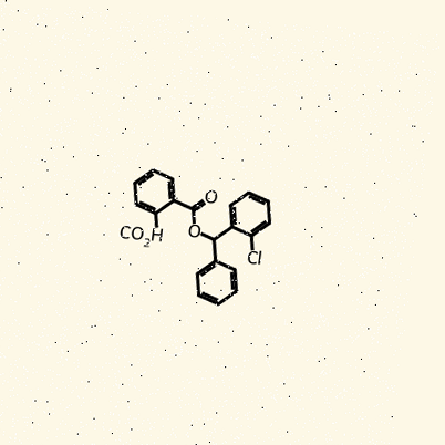 O=C(O)c1ccccc1C(=O)OC(c1ccccc1)c1ccccc1Cl